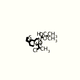 CC(Cl)C(=O)N1CCc2ccsc2C1CNC(=O)OC(C)(C)C